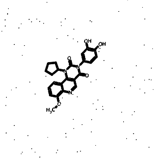 COc1cccc2c1ncc1c(=O)n(-c3ccc(O)c(O)c3)c(=O)n(C3CCCC3)c12